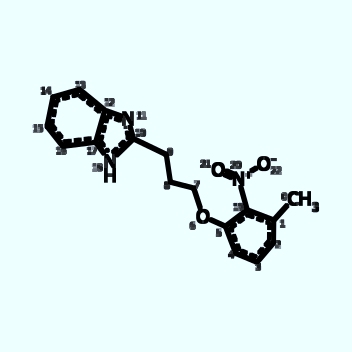 Cc1cccc(OCCCc2nc3ccccc3[nH]2)c1[N+](=O)[O-]